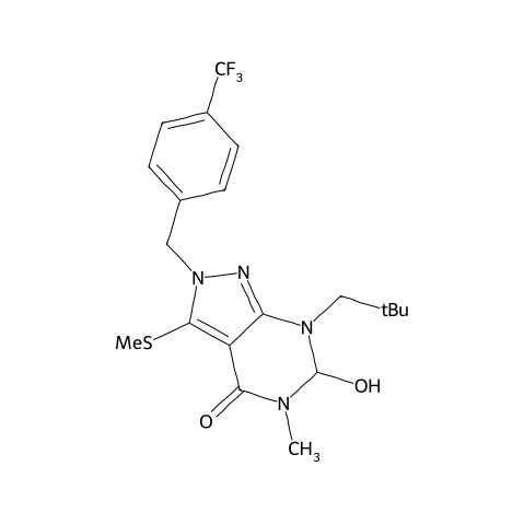 CSc1c2c(nn1Cc1ccc(C(F)(F)F)cc1)N(CC(C)(C)C)C(O)N(C)C2=O